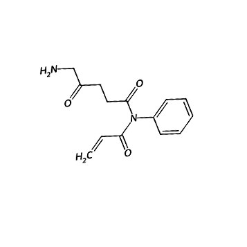 C=CC(=O)N(C(=O)CCC(=O)CN)c1ccccc1